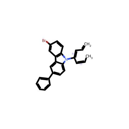 C=C/C=C(\C=C/C)n1c2ccc(Br)cc2c2cc(-c3ccccc3)ccc21